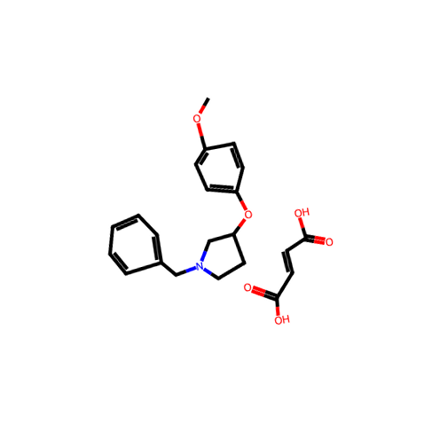 COc1ccc(OC2CCN(Cc3ccccc3)C2)cc1.O=C(O)C=CC(=O)O